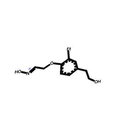 CCc1cc(CCO)ccc1OC/C=N/O